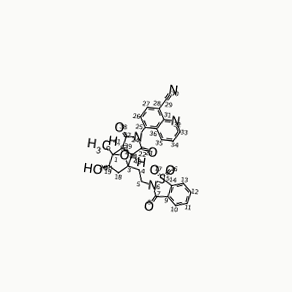 CC12OC(CCN3C(=O)c4ccccc4S3(=O)=O)(C[C@H]1O)[C@@H]1C(=O)N(c3ccc(C#N)c4ncccc34)C(=O)[C@@H]12